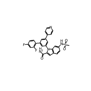 CS(=O)(=O)Nc1ccc2cc(C(N)=O)n(-c3cc(-c4ccncc4)cc(-c4ccc(F)cc4F)c3)c2c1